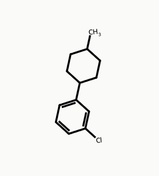 CC1CCC(c2cccc(Cl)c2)CC1